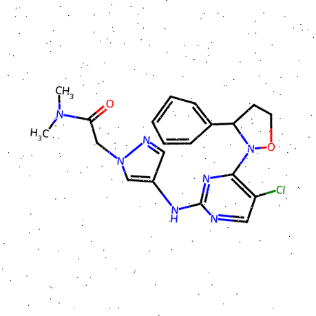 CN(C)C(=O)Cn1cc(Nc2ncc(Cl)c(N3OCCC3c3ccccc3)n2)cn1